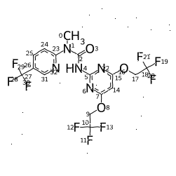 CN(C(=O)Nc1nc(OCC(F)(F)F)cc(OCC(F)(F)F)n1)c1ccc(C(F)(F)F)cn1